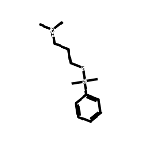 C[SiH](C)CCCS[Si](C)(C)c1ccccc1